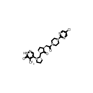 O=C1[C@H](CC(=O)N2CCN(c3ncc(Cl)cn3)CC2)CC[C@H]1[C@@H]1CCCN1c1cn[nH]c(=O)c1C(F)(F)F